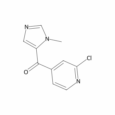 Cn1cncc1C(=O)c1ccnc(Cl)c1